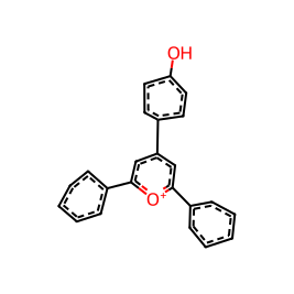 Oc1ccc(-c2cc(-c3ccccc3)[o+]c(-c3ccccc3)c2)cc1